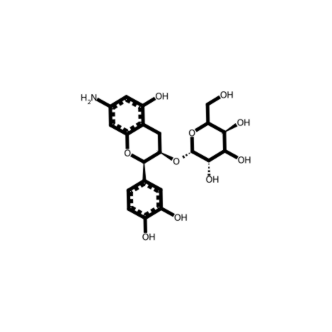 Nc1cc(O)c2c(c1)O[C@H](c1ccc(O)c(O)c1)[C@H](O[C@@H]1OC(CO)[C@@H](O)C(O)[C@@H]1O)C2